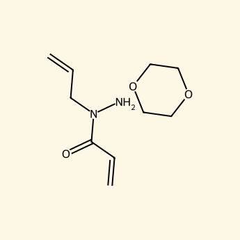 C1COCCO1.C=CCN(N)C(=O)C=C